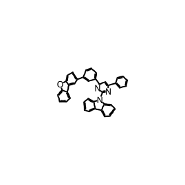 c1ccc(-c2cc(-c3cccc(-c4ccc5oc6ccccc6c5c4)c3)nc(-n3c4ccccc4c4ccccc43)n2)cc1